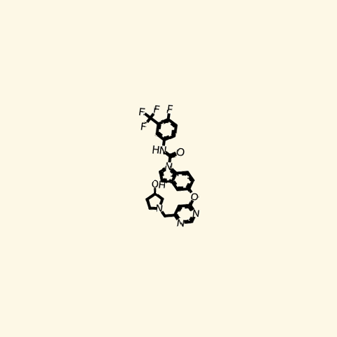 O=C(Nc1ccc(F)c(C(F)(F)F)c1)n1ccc2cc(Oc3cc(CN4CCC(O)C4)ncn3)ccc21